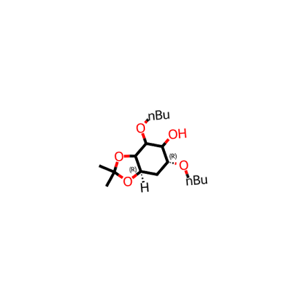 CCCCOC1C(O)[C@H](OCCCC)C[C@H]2OC(C)(C)OC12